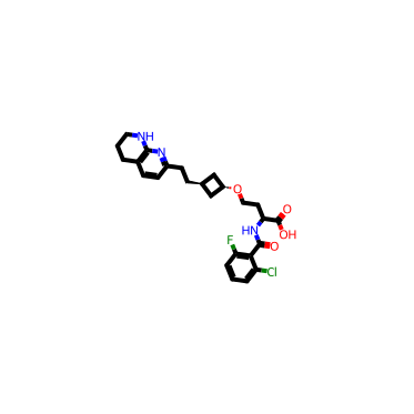 O=C(NC(CCO[C@H]1C[C@H](CCc2ccc3c(n2)NCCC3)C1)C(=O)O)c1c(F)cccc1Cl